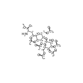 COC(=O)[C@@H](N)CS[C@H]1O[C@H](COC(C)=O)[C@@H](O[C@@H]2O[C@H](COC(C)=O)[C@H](OC(C)=O)[C@H](OC(C)=O)[C@H]2O)[C@H](OC(C)=O)[C@H]1OC(C)=O